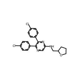 Clc1ccc(-c2ncc(NCC3CCCO3)nc2-c2ccc(Cl)cc2)cc1